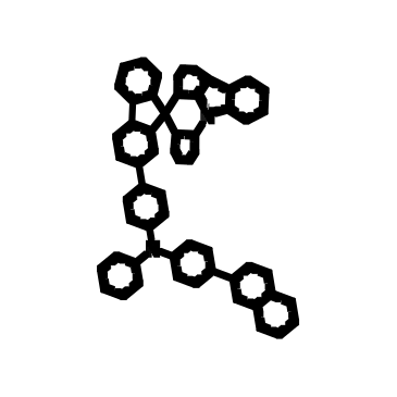 c1ccc(N(c2ccc(-c3ccc4c(c3)C3(c5ccccc5-4)c4ccccc4-n4c5ccccc5c5cccc3c54)cc2)c2ccc(-c3ccc4ccccc4c3)cc2)cc1